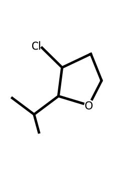 CC(C)C1OCCC1Cl